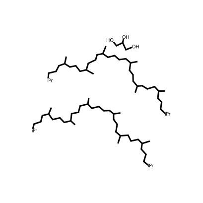 CC(C)CCCC(C)CCCC(C)CCCC(C)CCCCC(C)CCCC(C)CCCC(C)CCCC(C)C.CC(C)CCCC(C)CCCC(C)CCCC(C)CCCCC(C)CCCC(C)CCCC(C)CCCC(C)C.OCC(O)CO